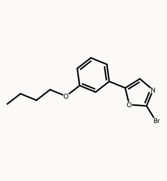 CCCCOc1cccc(-c2cnc(Br)o2)c1